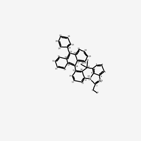 CCc1nc2cccc3c2n1-c1cccc(-c2c4ccccc4c(-c4ccccc4)c4ccccc24)c1C3(C)C